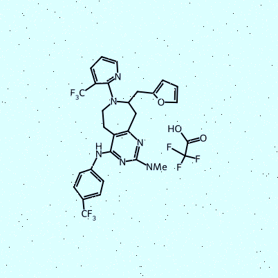 CNc1nc2c(c(Nc3ccc(C(F)(F)F)cc3)n1)CCN(c1ncccc1C(F)(F)F)C(Cc1ccco1)C2.O=C(O)C(F)(F)F